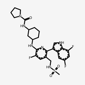 CS(=O)(=O)NCc1cc(F)c(NC2CCCC(NC(=O)N3CCCC3)C2)nc1-c1c[nH]c2c(F)cc(F)cc12